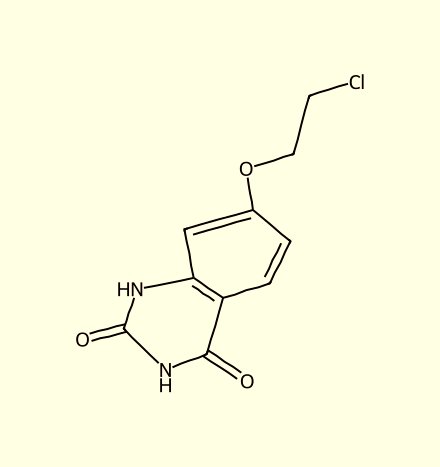 O=c1[nH]c(=O)c2ccc(OCCCl)cc2[nH]1